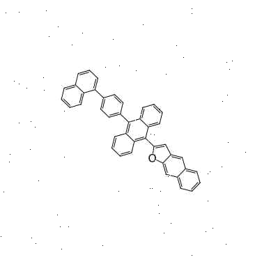 c1ccc2cc3oc(-c4c5ccccc5c(-c5ccc(-c6cccc7ccccc67)cc5)c5ccccc45)cc3cc2c1